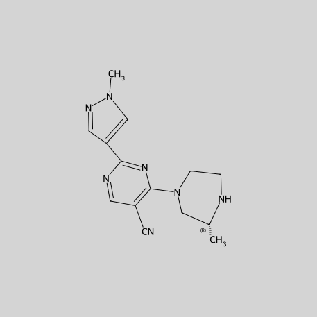 C[C@@H]1CN(c2nc(-c3cnn(C)c3)ncc2C#N)CCN1